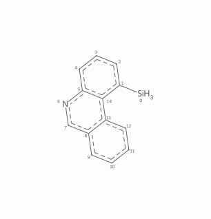 [SiH3]c1cccc2ncc3ccccc3c12